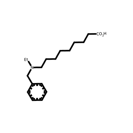 CCN(CCCCCCCCC(=O)O)Cc1ccccc1